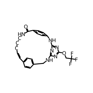 O=C1NCCCC=Cc2ccc(cc2)CNc2nc(nc(OCC(F)(F)F)n2)Nc2ccc1cc2